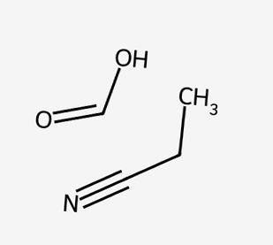 CCC#N.O=CO